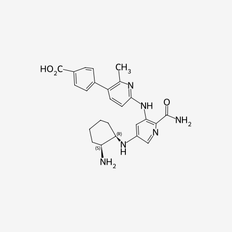 Cc1nc(Nc2cc(N[C@@H]3CCCC[C@@H]3N)cnc2C(N)=O)ccc1-c1ccc(C(=O)O)cc1